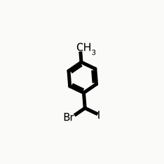 Cc1ccc(C(Br)I)cc1